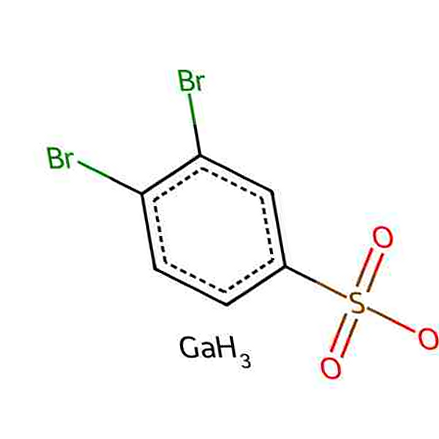 O=S(=O)(O)c1ccc(Br)c(Br)c1.[GaH3]